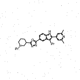 Cc1cc(-c2[nH]c3ccc(-c4nnc(C5CCCN(C(C)C)C5)o4)cc3c2C(C)C)cc(C)n1